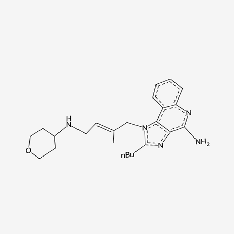 CCCCc1nc2c(N)nc3ccccc3c2n1C/C(C)=C/CNC1CCOCC1